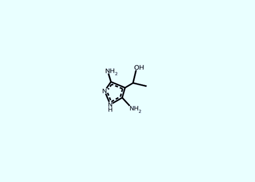 CC(O)c1c(N)n[nH]c1N